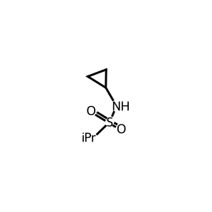 CC(C)S(=O)(=O)NC1CC1